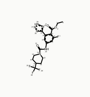 CCOC(=O)c1c(F)cc(NC(=O)N2CCC(C(F)(F)F)CC2)cc1-c1nn[nH]n1